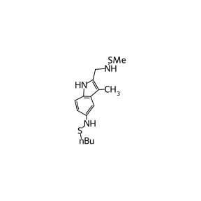 CCCCSNc1ccc2[nH]c(CNSC)c(C)c2c1